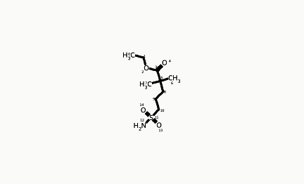 CCOC(=O)C(C)(C)CCCS(N)(=O)=O